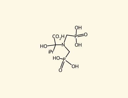 CC(C)C(O)(C(=O)O)N(CP(=O)(O)O)CP(=O)(O)O